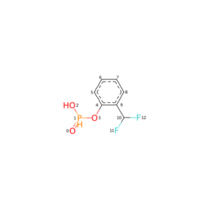 O=[PH](O)Oc1ccccc1C(F)F